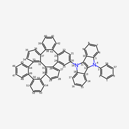 c1ccc(-n2c3ccccc3c3c2c2ccccc2n3-c2ccc3c(c2)c2cccc4c2-c2c(cccc2c2ccccc23)c2ccccc2c2ccccc42)cc1